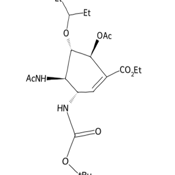 CCOC(=O)C1=C[C@H](NC(=O)OC(C)(C)C)[C@@H](NC(C)=O)[C@H](OC(CC)CC)[C@H]1OC(C)=O